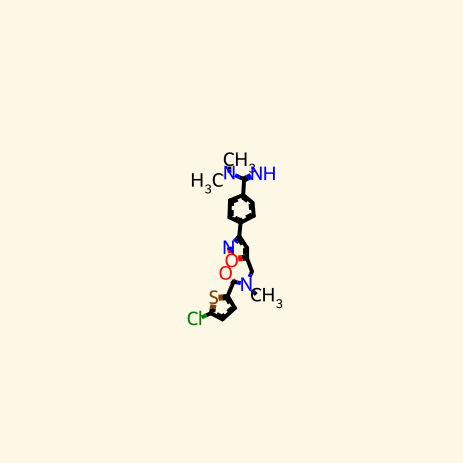 CN(C)C(=N)c1ccc(-c2cc(CN(C)C(=O)c3ccc(Cl)s3)on2)cc1